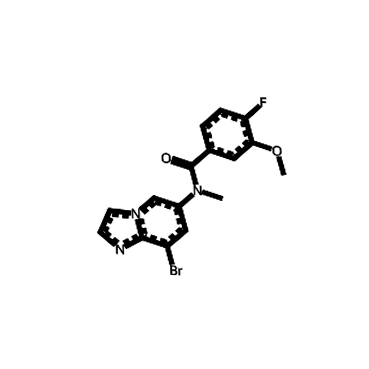 COc1cc(C(=O)N(C)c2cc(Br)c3nccn3c2)ccc1F